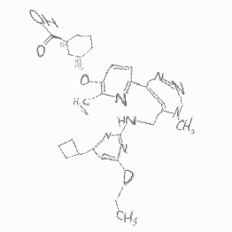 CCOc1cc(C2CCC2)nc(NCc2c(-c3ccc(O[C@H]4CCC[C@H](C(=O)O)C4)c(C)n3)nnn2C)n1